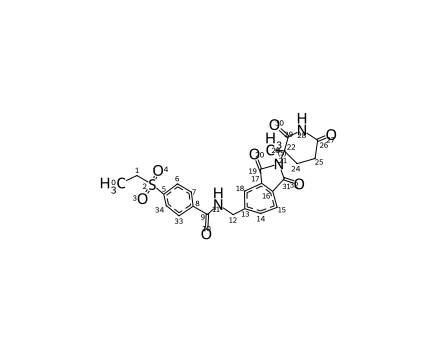 CCS(=O)(=O)c1ccc(C(=O)NCc2ccc3c(c2)C(=O)N([C@@]2(C)CCC(=O)NC2=O)C3=O)cc1